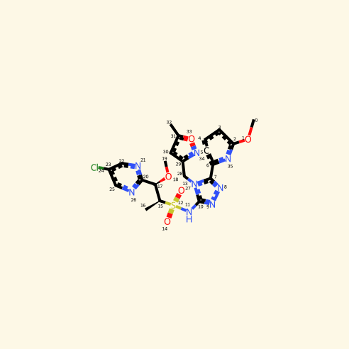 COc1cccc(-c2nnc(NS(=O)(=O)[C@@H](C)[C@H](OC)c3ncc(Cl)cn3)n2Cc2cc(C)on2)n1